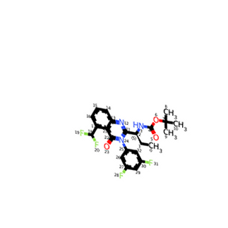 CC[C@H](NC(=O)OC(C)(C)C)c1nc2cccc(C(F)F)c2c(=O)n1-c1cc(F)cc(F)c1